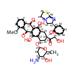 COc1cccc2c1C(=O)c1c(O)c3c(c(O)c1C2=O)C[C@@](O)(C(=O)CO)C[C@@H]3O[C@H]1C[C@H](N)[C@H](O)[C@H](C)O1.c1ccc([C@H]2CN3CCSC3=N2)cc1